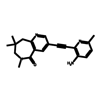 Cc1ccc(N)c(C#Cc2cnc3c(c2)C(=O)N(C)CC(C)(C)C3)n1